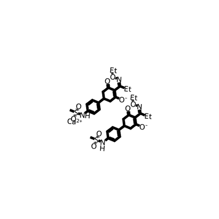 CCO/N=C(/CC)C1=C([O-])CC(c2ccc(NS(C)(=O)=O)cc2)CC1=O.CCO/N=C(/CC)C1=C([O-])CC(c2ccc(NS(C)(=O)=O)cc2)CC1=O.[Ca+2]